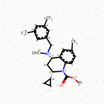 CC(C)OC(=O)N1c2ccc(C(F)(F)F)cc2[C@@H](N(C=O)Cc2cc(C(F)(F)F)cc(C(F)(F)F)c2)C[C@H]1C1CC1